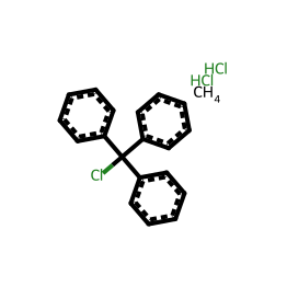 C.Cl.Cl.ClC(c1ccccc1)(c1ccccc1)c1ccccc1